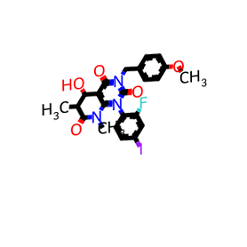 COc1ccc(Cn2c(=O)c3c(n(-c4ccc(I)cc4F)c2=O)N(C)C(=O)C(C)C3O)cc1